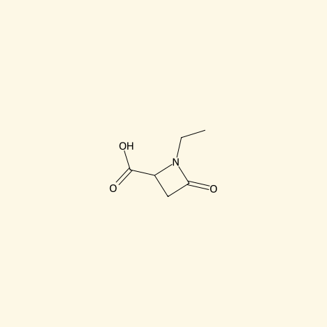 CCN1C(=O)CC1C(=O)O